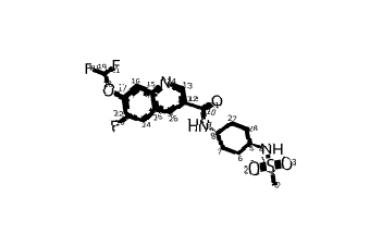 CS(=O)(=O)N[C@H]1CC[C@H](NC(=O)c2cnc3cc(OC(F)F)c(F)cc3c2)CC1